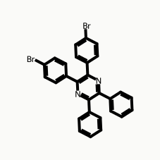 Brc1ccc(-c2nc(-c3ccccc3)c(-c3ccccc3)nc2-c2ccc(Br)cc2)cc1